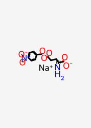 N[C@@H](CCC(=O)OC(=O)c1ccc([N+](=O)[O-])cc1)C(=O)[O-].[Na+]